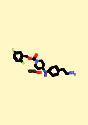 NCCc1ccc(NC2CCN(C(=O)OCc3cc(F)ccc3F)CC2)cc1.O=CO